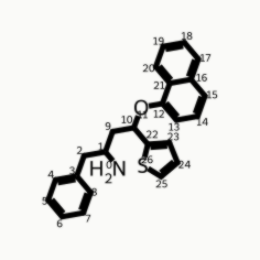 NC(Cc1ccccc1)CC(Oc1cccc2ccccc12)c1cccs1